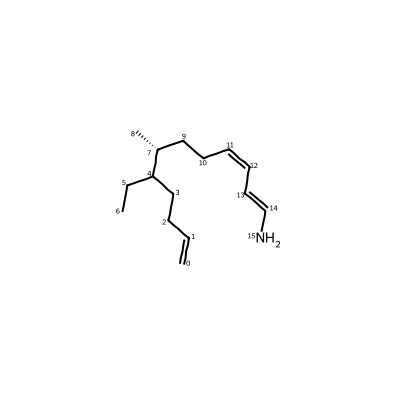 C=CCCC(CC)[C@H](C)CC/C=C\C=C\N